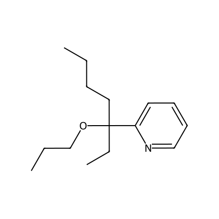 CCCCC(CC)(OCCC)c1ccccn1